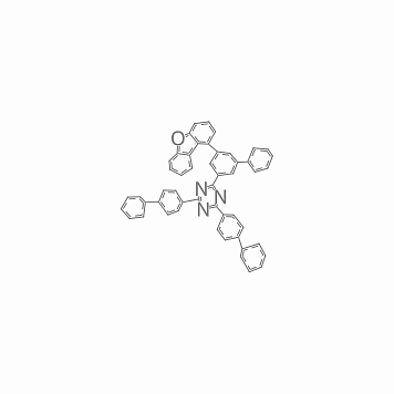 c1ccc(-c2ccc(-c3nc(-c4ccc(-c5ccccc5)cc4)nc(-c4cc(-c5ccccc5)cc(-c5cccc6oc7ccccc7c56)c4)n3)cc2)cc1